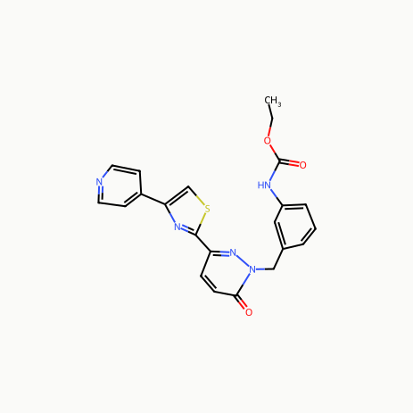 CCOC(=O)Nc1cccc(Cn2nc(-c3nc(-c4ccncc4)cs3)ccc2=O)c1